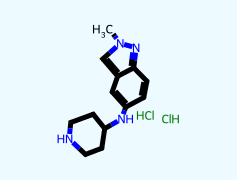 Cl.Cl.Cn1cc2cc(NC3CCNCC3)ccc2n1